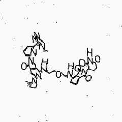 CCn1cnnc1-c1cccc(N2Cc3c(cc(N4CCC[C@H]4C)nc3NCCOCCNc3cccc4c3C(=O)N(C3CCC(=O)NC3=O)C4=O)C2=O)n1